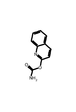 NC(=O)Oc1ccc2ccccc2n1